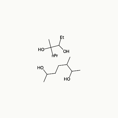 CC(O)CCC(C)C(C)O.CCCC(C)(O)C(O)CC